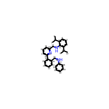 CC(C)c1cccc(C(C)C)c1NCc1cccc(-c2ccccc2CNc2ccccc2)n1